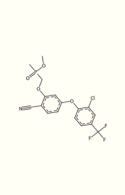 COP(C)(=O)COc1cc(Oc2ccc(C(F)(F)F)cc2Cl)ccc1C#N